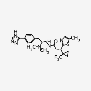 Cc1cnc([C@@H](CC(=O)NC[C@H](Cc2ccc(-c3nnc[nH]3)cc2)N(C)C)C2(C(F)(F)F)CC2)s1